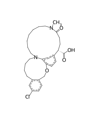 CN1CCCCCCCN2CCCCc3cc(Cl)ccc3COc3ccc(cc32)[C@@H](C(=O)O)CCC1=O